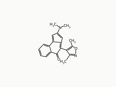 Cc1noc(C)c1C1=C2C=C(N(C)C)C=C2c2ccccc2C1=O